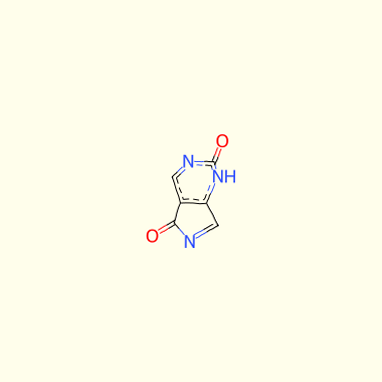 O=C1N=Cc2[nH]c(=O)ncc21